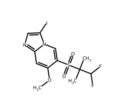 COc1cc2ncc(I)n2cc1S(=O)(=O)C(C)(C)C(F)F